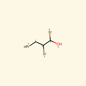 CCCCC(Br)C(O)Br